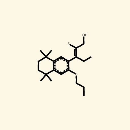 CCCOc1cc2c(cc1C(CC)=C(F)CO)C(C)(C)CCC2(C)C